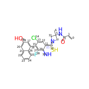 C=CC(=O)NC1(C)CN(/C(S)=C2\C=C(Cl)C(c3cc(O)cc4ccccc34)=C(F)C2=N)C1